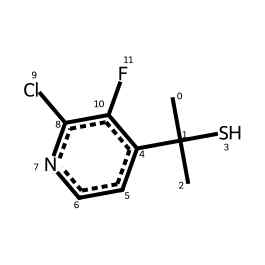 CC(C)(S)c1ccnc(Cl)c1F